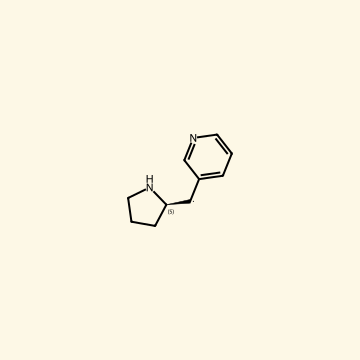 [CH](c1cccnc1)[C@H]1CCCN1